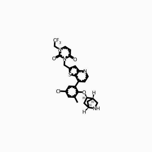 Cc1cc(Cl)cc(-c2ccnc3cc(Cn4c(=O)ccn(CC(F)(F)F)c4=O)sc23)c1O[C@@H]1C[C@@H]2C[C@H]1CN2